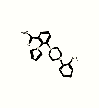 COC(=O)c1cccc(N2CCN(c3ccccc3N)CC2)c1-n1cccc1